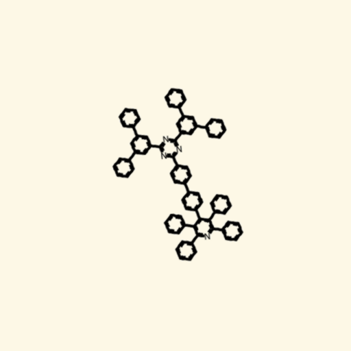 c1ccc(-c2cc(-c3ccccc3)cc(-c3nc(-c4ccc(-c5ccc(-c6c(-c7ccccc7)c(-c7ccccc7)nc(-c7ccccc7)c6-c6ccccc6)cc5)cc4)nc(-c4cc(-c5ccccc5)cc(-c5ccccc5)c4)n3)c2)cc1